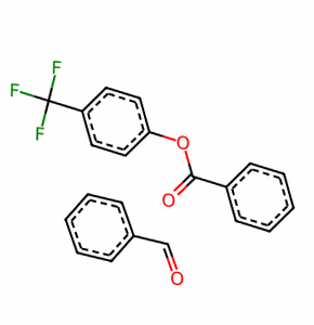 O=C(Oc1ccc(C(F)(F)F)cc1)c1ccccc1.O=Cc1ccccc1